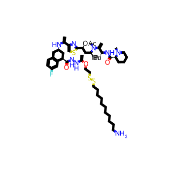 C=C(NNC(=O)[C@@H]1C[C@@H](NC(=C)c2csc([C@@H](C[C@H](C(C)C)N(C)C(=C)C(NC(=O)[C@H]3CCCCN3C)[C@@H](C)CC)OC(C)=O)n2)Cc2ccc(F)cc21)OCCSSCCCCCCCCCCCN